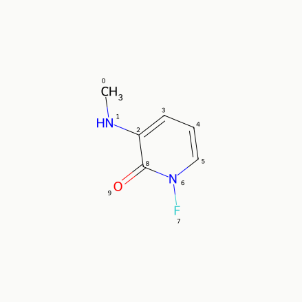 CNc1cccn(F)c1=O